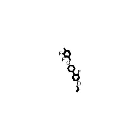 C=CCOc1ccc(C2CCC(OCc3ccc(C)c(F)c3F)CC2)c(F)c1